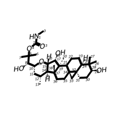 CNC(=O)OC(C)(C)[C@@H](O)[C@H]1C[C@@H](C)[C@H]2[C@H](O1)[C@H](O)[C@@]1(C)C3CC[C@H]4C(C)(C)[C@@H](O)CC[C@@]45C[C@@]35CC[C@]21C